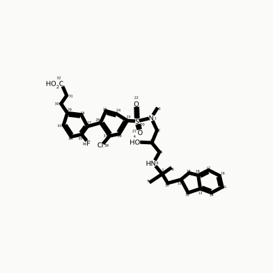 CN(CC(O)CNC(C)(C)CC1Cc2ccccc2C1)S(=O)(=O)c1ccc(-c2cc(CCC(=O)O)ccc2F)c(Cl)c1